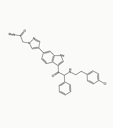 CNC(=O)Cn1cc(-c2ccc3c(C(=O)C(NCCc4ccc(Cl)cc4)c4ccccc4)c[nH]c3c2)cn1